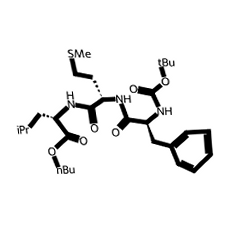 CCCCOC(=O)[C@H](CC(C)C)NC(=O)[C@H](CCSC)NC(=O)[C@H](Cc1ccccc1)NC(=O)OC(C)(C)C